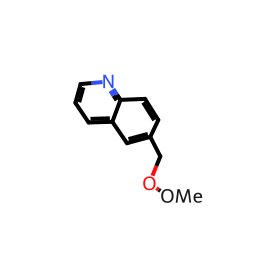 COOCc1ccc2ncccc2c1